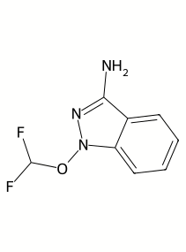 Nc1nn(OC(F)F)c2ccccc12